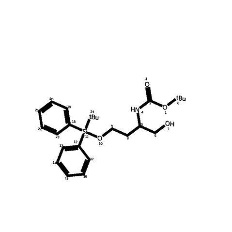 CC(C)(C)OC(=O)NC(CO)CCO[Si](c1ccccc1)(c1ccccc1)C(C)(C)C